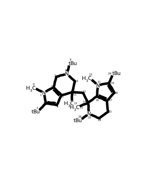 Cn1c(C(C)(C)C)cc2c1CN(C(C)(C)C)CC2(C)CC1(C)c2c(cc(C(C)(C)C)n2C)CCN1C(C)(C)C